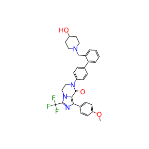 COc1ccc(-c2nc(C(F)(F)F)n3c2C(=O)N(c2ccc(-c4ccccc4CN4CCC(O)CC4)cc2)CC3)cc1